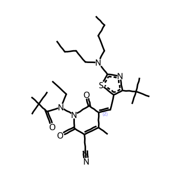 CCCCN(CCCC)c1nc(C(C)(C)C)c(/C=C2\C(=O)N(N(CC)C(=O)C(C)(C)C)C(=O)C(C#N)=C2C)s1